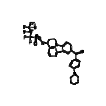 O=C(c1ccc(N2CCCCC2)cc1)c1ccc2c(c1)c1cccc3c1n2CC/C3=N\OS(=O)(=O)C(F)(F)C(F)(F)C(F)(F)C(F)(F)F